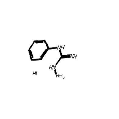 I.N=C(NN)Nc1ccccc1